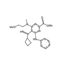 COCCN(C)c1cc(C(=O)OC)nc(Nc2ccccc2)c1C(=N)C1CCC1